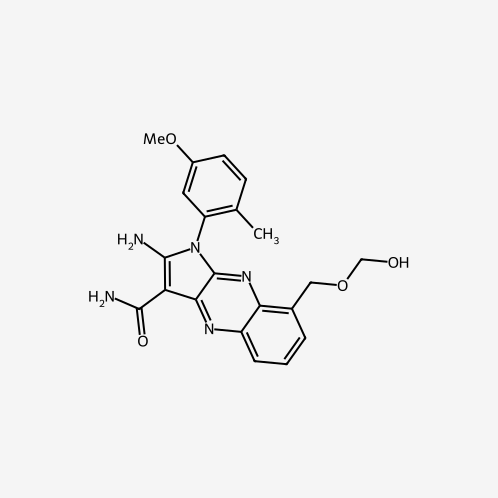 COc1ccc(C)c(-n2c(N)c(C(N)=O)c3nc4cccc(COCO)c4nc32)c1